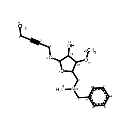 CCC#CCOC1OC(CN(C)Cc2ccccc2)C(OC)C1O